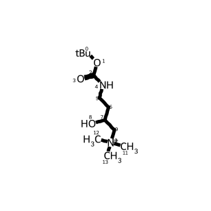 CC(C)(C)OC(=O)NCCC(O)C[N+](C)(C)C